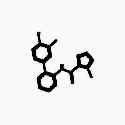 Cc1cc(-c2ccccc2NC(=O)c2sccc2C)ccc1Cl